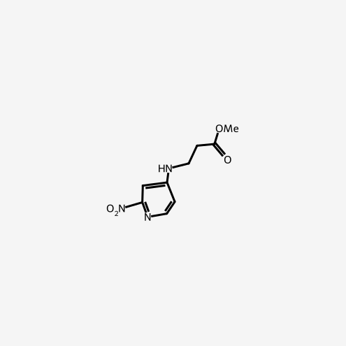 COC(=O)CCNc1ccnc([N+](=O)[O-])c1